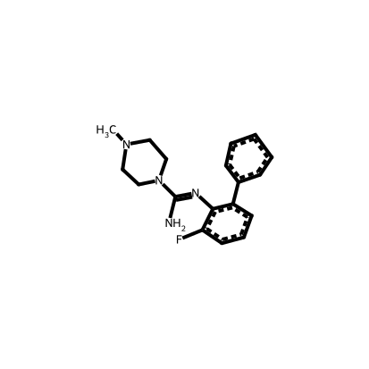 CN1CCN(C(N)=Nc2c(F)cccc2-c2ccccc2)CC1